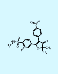 CNS(=O)(=O)c1ccc(C2=C(c3ccc([N+](=O)[O-])cc3)C(=O)C(C)(C)O2)cc1F